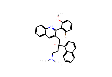 COc1cccc(Br)c1-c1nc2ccccc2cc1C[C@@](O)(CCN(C)C)c1cccc2ccccc12